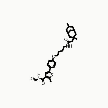 Cc1sc(-c2ccc(OCCCCNC(=O)CC3(C)CC4CC(C)CC(C4)C3)cc2)cc1C(=O)NC=O